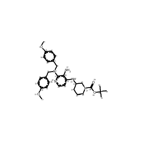 COc1ccc(CN(Cc2ccc(OC)cc2)c2nccc(NC3CCCN(C(=O)OC(C)(C)C)C3)c2N)cc1